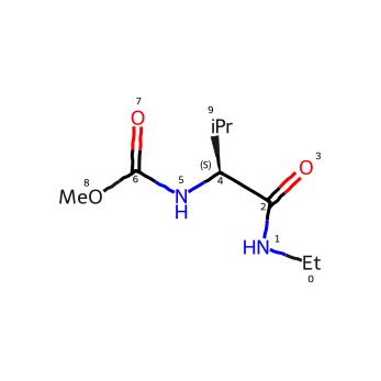 CCNC(=O)[C@@H](NC(=O)OC)C(C)C